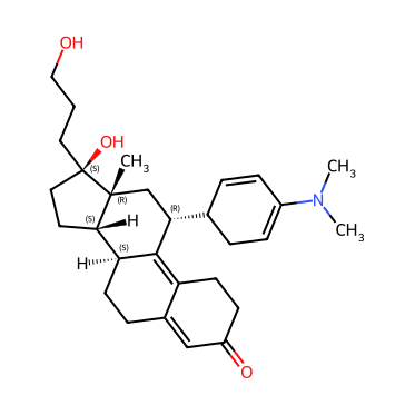 CN(C)C1=CCC([C@H]2C[C@]3(C)[C@@H](CC[C@]3(O)CCCO)[C@@H]3CCC4=CC(=O)CCC4=C32)C=C1